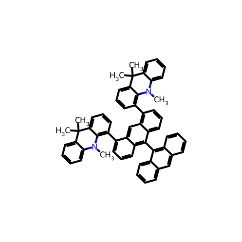 CN1c2ccccc2C(C)(C)c2cccc(-c3cccc4c(-c5c6ccccc6cc6ccccc56)c5cccc(-c6cccc7c6N(C)c6ccccc6C7(C)C)c5cc34)c21